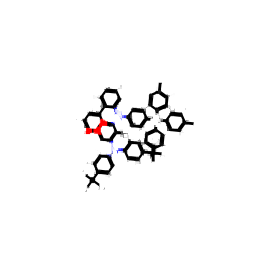 Cc1ccc([Si](c2ccc(C)cc2)(c2ccc(C)cc2)c2ccc3c(c2)B2c4cc(C(C)(C)C)ccc4N(c4ccc(C(C)(C)C)cc4)c4cc(C)cc(c42)N3c2ccccc2-c2ccccc2)cc1